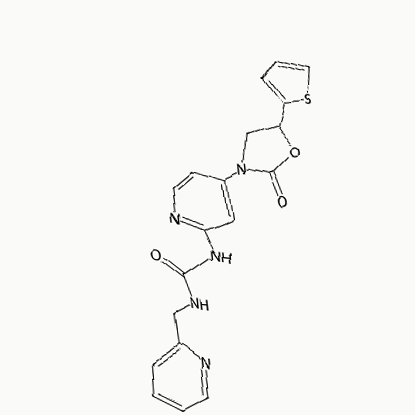 O=C(NCc1ccccn1)Nc1cc(N2CC(c3cccs3)OC2=O)ccn1